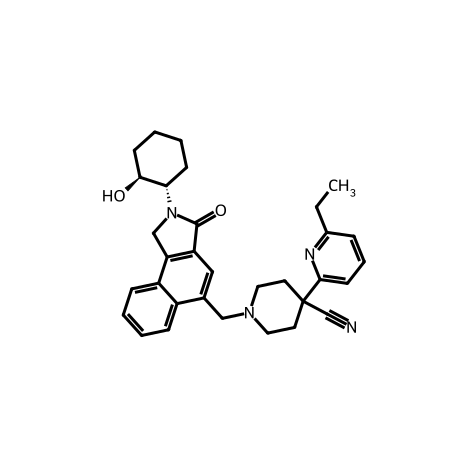 CCc1cccc(C2(C#N)CCN(Cc3cc4c(c5ccccc35)CN([C@H]3CCCC[C@@H]3O)C4=O)CC2)n1